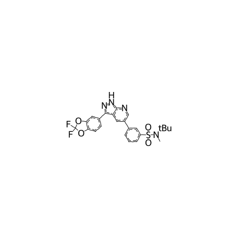 CN(C(C)(C)C)S(=O)(=O)c1cccc(-c2cnc3[nH]nc(-c4ccc5c(c4)OC(F)(F)O5)c3c2)c1